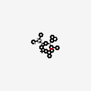 CC1(C)c2cc3c4ccccc4c4ccccc4c3cc2-c2c1ccc1c2c2cc(N(c3cccc(-c4ccccc4)c3)c3cc4c5c(cccc5c3)CC=C4)ccc2n1-c1nc(-c2ccccc2)nc(-c2ccccn2)n1